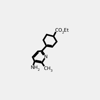 CCOC(=O)C1CC=C(c2ccc(N)c(C)n2)CC1